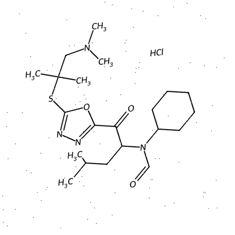 CC(C)CC(C(=O)c1nnc(SC(C)(C)CN(C)C)o1)N(C=O)C1CCCCC1.Cl